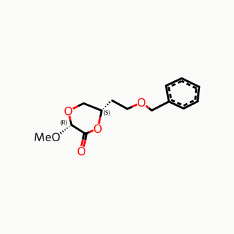 CO[C@@H]1OC[C@H](CCOCc2ccccc2)OC1=O